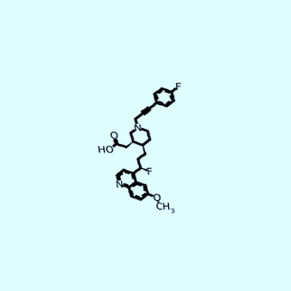 COc1ccc2nccc([C@H](F)CC[C@@H]3CCN(CC#Cc4ccc(F)cc4)C[C@@H]3CC(=O)O)c2c1